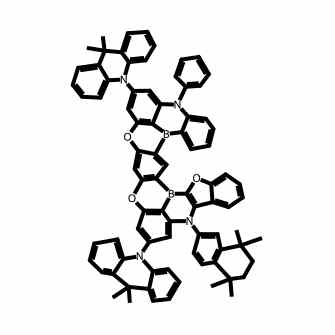 CC1(C)CCC(C)(C)c2cc(N3c4cc(N5c6ccccc6C(C)(C)c6ccccc65)cc5c4B(c4cc6c(cc4O5)Oc4cc(N5c7ccccc7C(C)(C)c7ccccc75)cc5c4B6c4ccccc4N5c4ccccc4)c4oc5ccccc5c43)ccc21